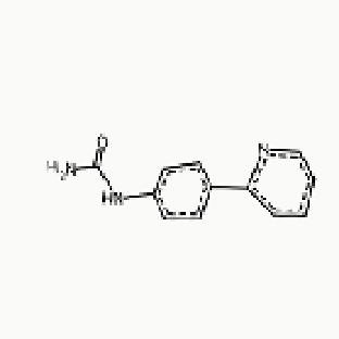 NC(=O)Nc1ccc(-c2ccccn2)cc1